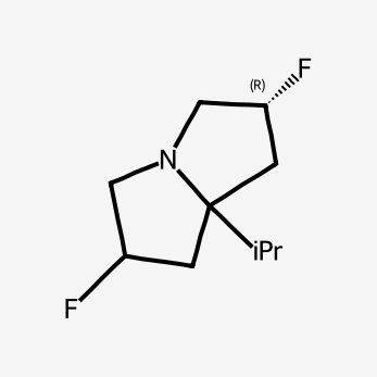 CC(C)C12CC(F)CN1C[C@H](F)C2